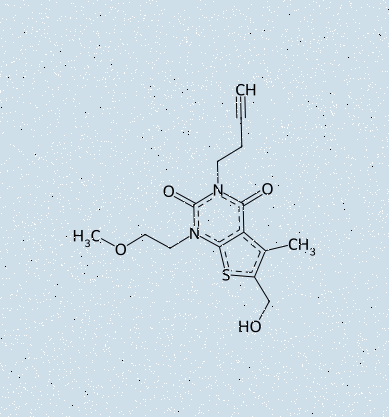 C#CCCn1c(=O)c2c(C)c(CO)sc2n(CCOC)c1=O